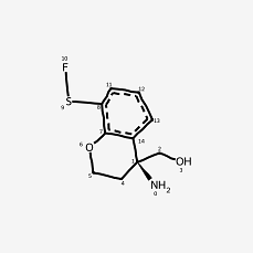 N[C@@]1(CO)CCOc2c(SF)cccc21